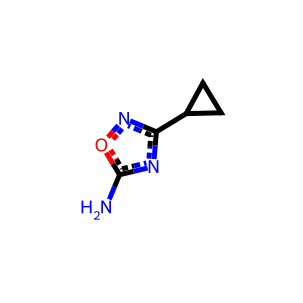 Nc1nc(C2CC2)no1